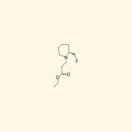 CCOC(=O)CCN1CCCC[C@H]1CF